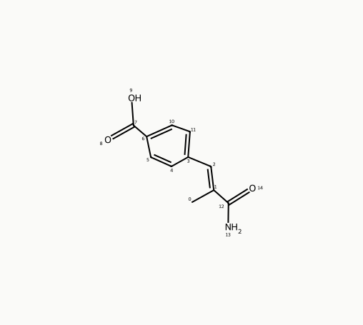 C/C(=C\c1ccc(C(=O)O)cc1)C(N)=O